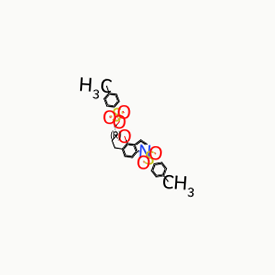 Cc1ccc(S(=O)(=O)OC[C@H]2CCc3ccc4c(ccn4S(=O)(=O)c4ccc(C)cc4)c3O2)cc1